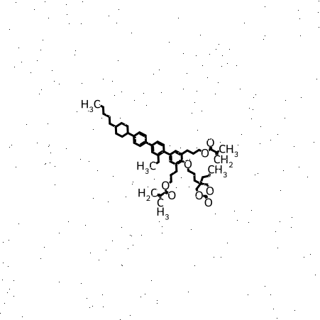 C=C(C)C(=O)OCCCc1cc(-c2ccc(-c3ccc(C4CCC(CCCCC)CC4)cc3)cc2CC)cc(CCCOC(=O)C(=C)C)c1OCCCC1(CCC)COC(=O)OC1